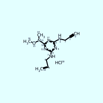 C#CCNc1nc(NCC=C)nc(N(C)OC)n1.Cl